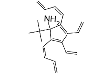 C=C/C=C\C1=C(C=C)C(C=C)=C(/C=C\C=C)C1(N)C(C)(C)C